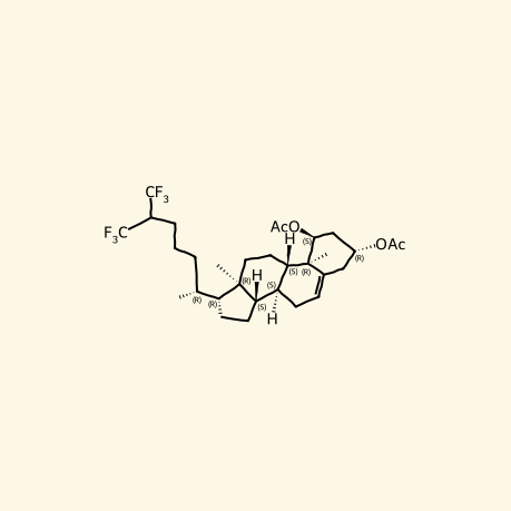 CC(=O)O[C@@H]1CC2=CC[C@H]3[C@@H]4CC[C@H]([C@H](C)CCCC(C(F)(F)F)C(F)(F)F)[C@@]4(C)CC[C@@H]3[C@@]2(C)[C@@H](OC(C)=O)C1